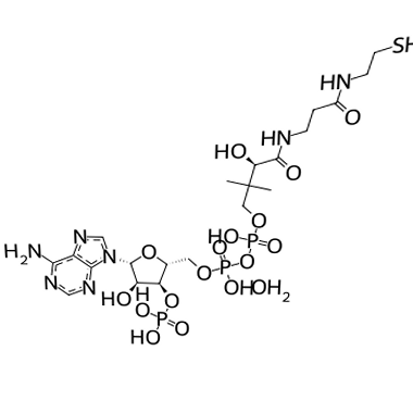 CC(C)(COP(=O)(O)OP(=O)(O)OC[C@H]1O[C@@H](n2cnc3c(N)ncnc32)[C@H](O)[C@@H]1OP(=O)(O)O)[C@@H](O)C(=O)NCCC(=O)NCCS.O